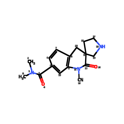 CN(C)C(=O)c1ccc2c(c1)N(C#N)C(=O)C1(CCNC1)C2